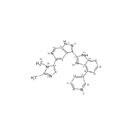 Cc1ncc(-c2cc3c(-c4nc5c(-c6cccnc6)cccc5[nH]4)n[nH]c3cn2)n1C